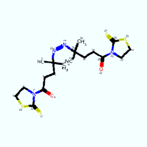 CC(C#N)(CCC(=O)N1CCSC1=S)/N=N\C(C)(C#N)CCC(=O)N1CCSC1=S